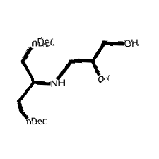 CCCCCCCCCCCC(CCCCCCCCCCC)NCC(O)CO